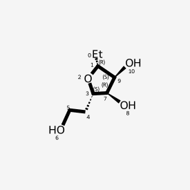 CC[C@H]1O[C@@H](CCO)[C@H](O)[C@@H]1O